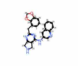 c1cc(Cc2nc3c(c(Nc4cnc5ccccc5c4)n2)CNC3)c2c(c1)OCO2